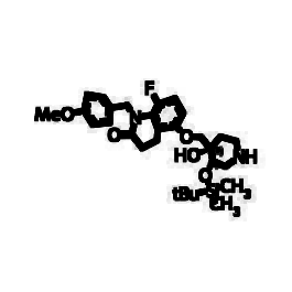 COc1ccc(CN2C(=O)CCc3c(OC[C@]4(O)CCNC[C@H]4O[Si](C)(C)C(C)(C)C)ccc(F)c32)cc1